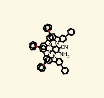 N#Cc1c(N)c(-n2c3ccc(-c4ccccc4)cc3c3cc(-c4ccccc4)ccc32)c(-n2c3ccc(-c4ccccc4)cc3c3cc(-c4ccccc4)ccc32)c(-n2c3ccc(-c4ccccc4)cc3c3cc(-c4ccccc4)ccc32)c1-n1c2ccc(-c3ccccc3)cc2c2cc(-c3ccccc3)ccc21